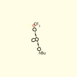 CCCCc1ccc(C#Cc2ccc(C#Cc3ccc(OC(F)(F)F)cc3)c3ccccc23)cc1